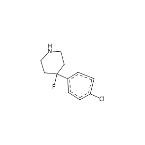 FC1(c2ccc(Cl)cc2)CCNCC1